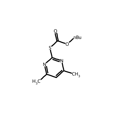 CCCCOC(=O)Sc1nc(C)cc(C)n1